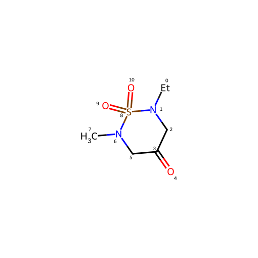 CCN1CC(=O)CN(C)S1(=O)=O